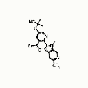 CC[S@+]([O-])c1cc(OC(C)(C)C#N)cnc1-c1nc2cc(C(F)(F)F)ncc2n1C